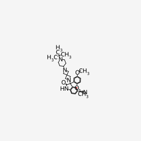 CCOc1ccc(OC)cc1C1(N2CC3(CN(C4CCN(C(C)(C)C)CC4)C3)C2)C(=O)Nc2ccc(C#N)cc21